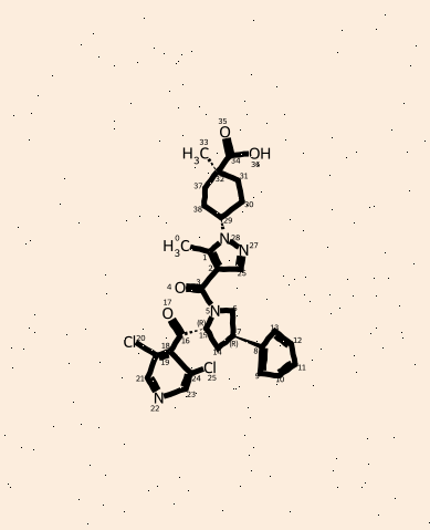 Cc1c(C(=O)N2C[C@@H](c3ccccc3)C[C@@H]2C(=O)c2c(Cl)cncc2Cl)cnn1[C@H]1CC[C@](C)(C(=O)O)CC1